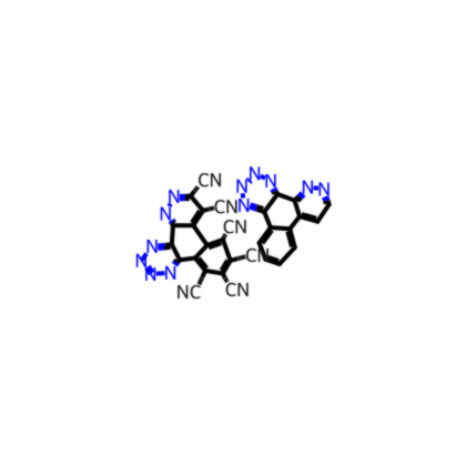 N#Cc1nnc2c3nnnnc3c3c(C#N)c(C#N)c(C#N)c(C#N)c3c2c1C#N.c1ccc2c(c1)c1ccnnc1c1nnnnc21